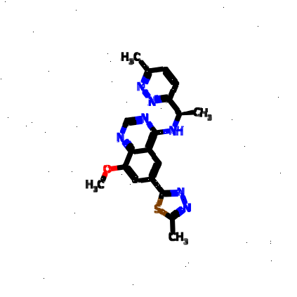 COc1cc(-c2nnc(C)s2)cc2c(N[C@H](C)c3ccc(C)nn3)ncnc12